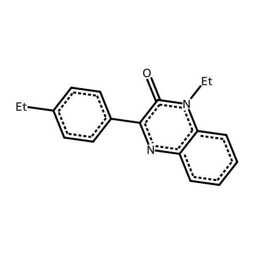 CCc1ccc(-c2nc3ccccc3n(CC)c2=O)cc1